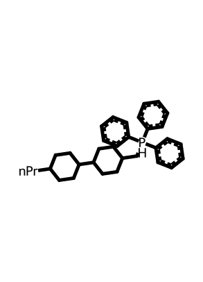 CCCC1CCC(C2CCC(C[PH](c3ccccc3)(c3ccccc3)c3ccccc3)CC2)CC1